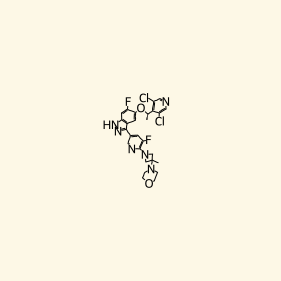 C[C@@H](Oc1cc2c(-c3cnc(N4CC(C)(N5CCOCC5)C4)c(F)c3)n[nH]c2cc1F)c1c(Cl)cncc1Cl